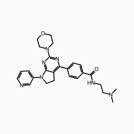 CN(C)CCNC(=O)c1ccc(-c2nc(N3CCOCC3)nc3c2CCN3c2cccnc2)cc1